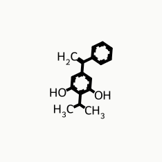 C=C(c1ccccc1)c1cc(O)c(C(C)C)c(O)c1